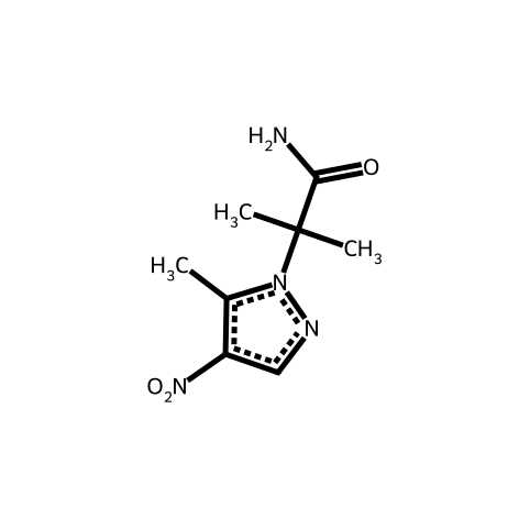 Cc1c([N+](=O)[O-])cnn1C(C)(C)C(N)=O